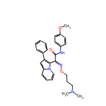 COc1ccc(NC(=O)/C(=N/OCCCN(C)C)c2c(-c3ccccc3)cc3ccccn23)cc1